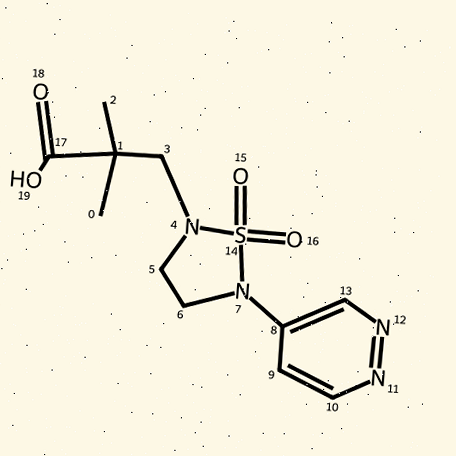 CC(C)(CN1CCN(c2ccnnc2)S1(=O)=O)C(=O)O